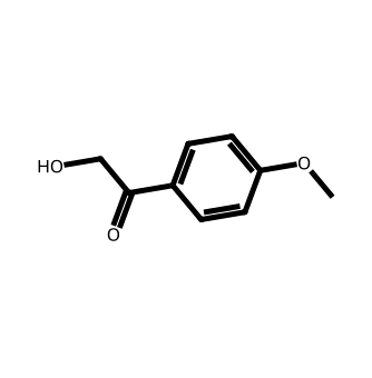 COc1ccc(C(=O)CO)cc1